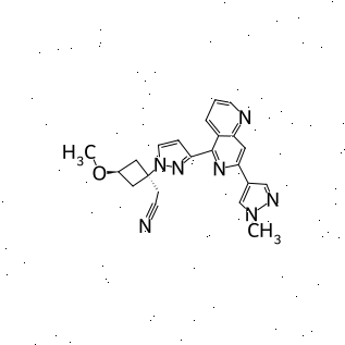 CO[C@H]1C[C@@](CC#N)(n2ccc(-c3nc(-c4cnn(C)c4)cc4ncccc34)n2)C1